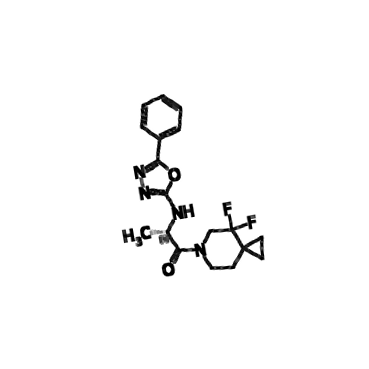 C[C@H](Nc1nnc(-c2ccccc2)o1)C(=O)N1CCC2(CC2)C(F)(F)C1